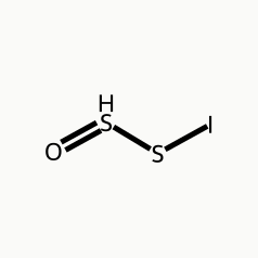 O=[SH]SI